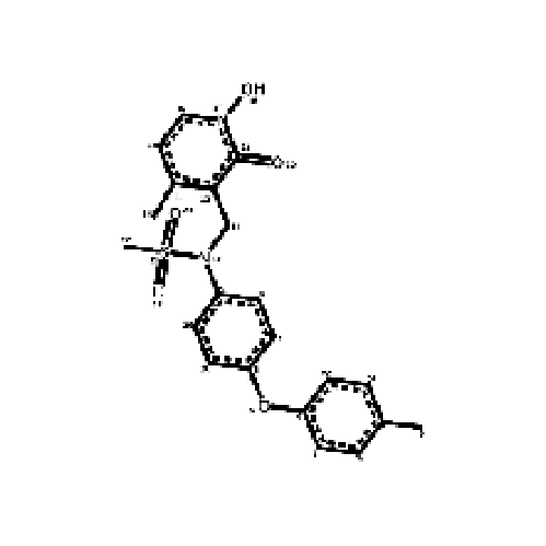 Cc1ccc(Oc2ccc(N(Cc3c(C)ccn(O)c3=O)S(C)(=O)=O)cc2)cc1